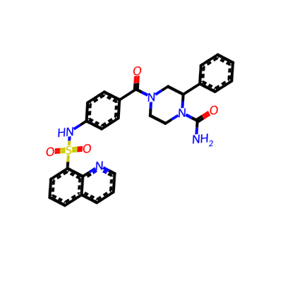 NC(=O)N1CCN(C(=O)c2ccc(NS(=O)(=O)c3cccc4cccnc34)cc2)CC1c1ccccc1